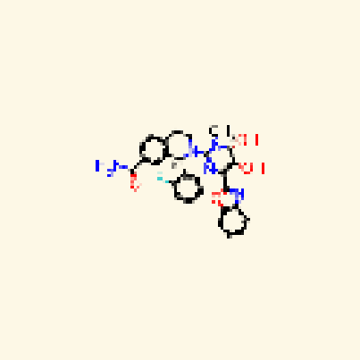 CN1C(N2CCc3ccc(C(N)=O)cc3[C@H]2c2ccccc2F)=NC(c2nc3ccccc3o2)=C(O)C1O